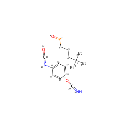 CCC(CC)(CC)CCCP=O.N=C=O.O=C=Nc1ccccc1